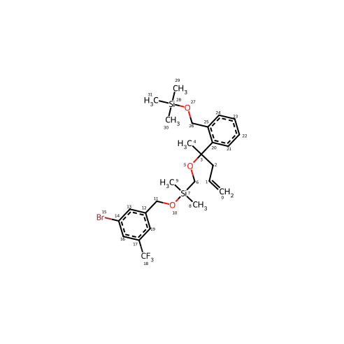 C=CCC(C)(OC[Si](C)(C)OCc1cc(Br)cc(C(F)(F)F)c1)c1ccccc1CO[Si](C)(C)C